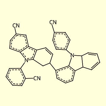 N#Cc1ccc(N2c3c(C4C=Cc5c(n(-c6ccccc6C#N)c6ccc(C#N)cc56)C4)cccc3C3C=CC=CC32)cc1